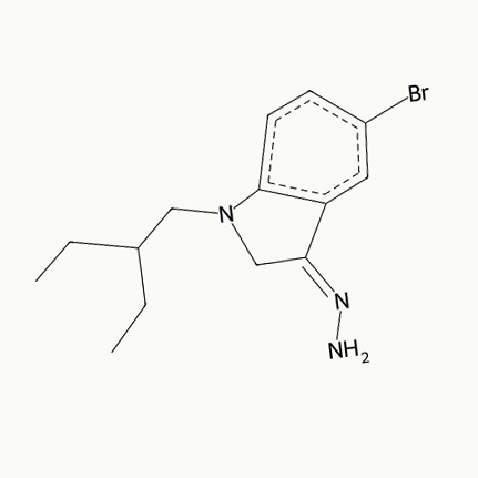 CCC(CC)CN1C/C(=N\N)c2cc(Br)ccc21